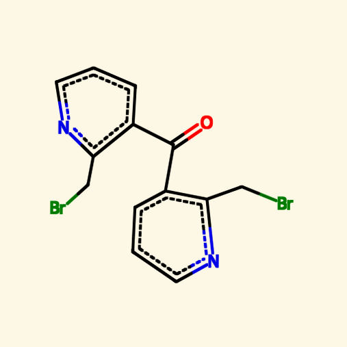 O=C(c1cccnc1CBr)c1cccnc1CBr